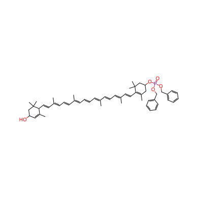 CC1=CC(O)CC(C)(C)C1/C=C/C(C)=C/C=C/C(C)=C/C=C/C=C(C)/C=C/C=C(C)/C=C/C1=C(C)CC(OP(=O)(OCc2ccccc2)OCc2ccccc2)CC1(C)C